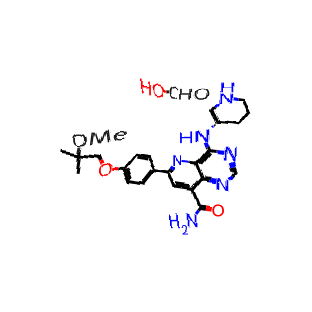 COC(C)(C)COc1ccc(-c2cc(C(N)=O)c3ncnc(N[C@H]4CCCNC4)c3n2)cc1.O=CO